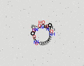 CC(C)C[C@H]1NC(=O)c2ccccc2OCc2noc(n2)CCCCCCCCNC(=O)[C@H](Cc2ccccc2)N(C)C(=O)[C@H]2C[C@H](O)CN2C1=O